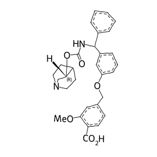 COc1cc(COc2cccc(C(NC(=O)O[C@H]3CN4CCC3CC4)c3ccccc3)c2)ccc1C(=O)O